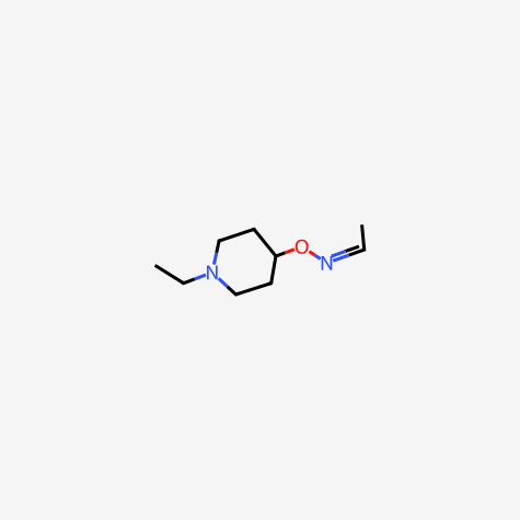 C/C=N\OC1CCN(CC)CC1